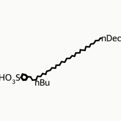 CCCCCCCCCCCCCCCCCCCCCCCCCCCCCCCCCCCCCC(CCCC)CCc1ccc(S(=O)(=O)O)cc1